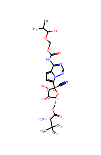 CC(C)C(O)OCOC(=O)Nc1ncnn2c([C@]3(C#N)O[C@H](COC(=O)[C@@H](N)C(C)(C)C)[C@@H](O)[C@H]3O)ccc12